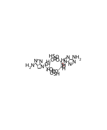 C[C@@H]1[C@@H]2OP(=O)(S)OC[C@H]3O[C@@H](n4cnc5c(N)ncnc54)[C@H](OP(=O)(S)OC[C@H]2O[C@H]1n1ccc2c(N)ncnc21)[C@@H]3C